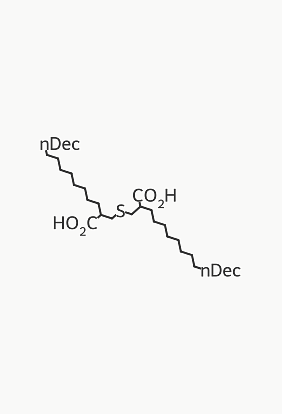 CCCCCCCCCCCCCCCCCCC(CSCC(CCCCCCCCCCCCCCCCCC)C(=O)O)C(=O)O